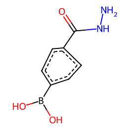 NNC(=O)c1ccc(B(O)O)cc1